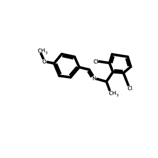 COc1ccc(C=NC(C)c2c(Cl)cccc2Cl)cc1